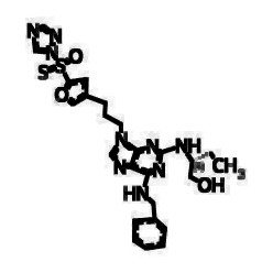 CC[C@H](CO)Nc1nc(NCc2ccccc2)c2ncn(CCCc3coc(S(=O)(=S)n4cncn4)c3)c2n1